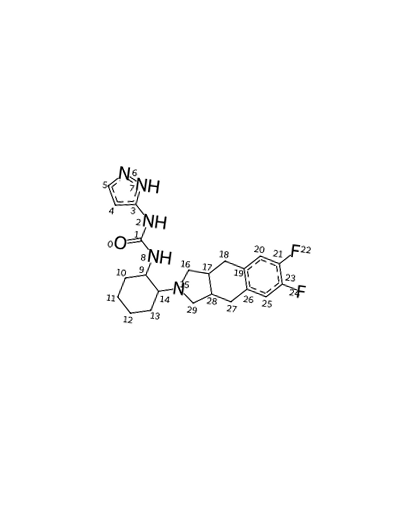 O=C(Nc1ccn[nH]1)NC1CCCCC1N1CC2Cc3cc(F)c(F)cc3CC2C1